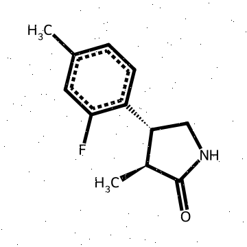 Cc1ccc([C@@H]2CNC(=O)[C@H]2C)c(F)c1